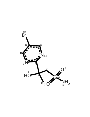 CC(O)(CS(N)(=O)=O)c1ncc(Br)cn1